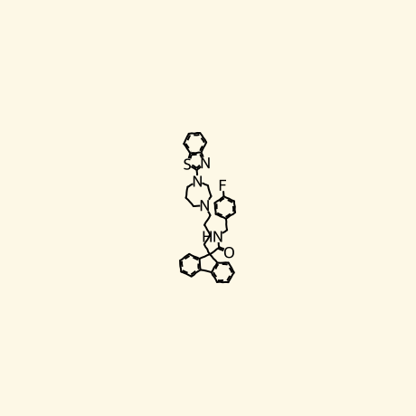 O=C(NCc1ccc(F)cc1)C1(CCCCN2CCCN(c3nc4ccccc4s3)CC2)c2ccccc2-c2ccccc21